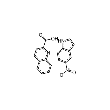 O=C(O)c1ccc2ccccc2n1.O=[N+]([O-])c1ccc2[nH]ccc2c1